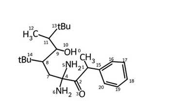 CC(C(=O)C(N)(N)CC(C(O)C(C)C(C)(C)C)C(C)(C)C)c1ccccc1